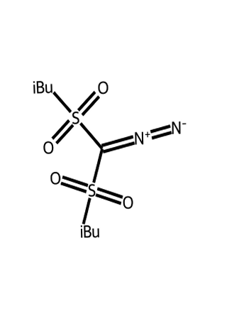 CCC(C)S(=O)(=O)C(=[N+]=[N-])S(=O)(=O)C(C)CC